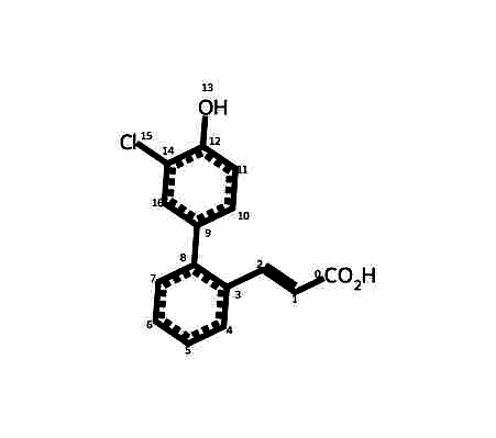 O=C(O)/C=C/c1ccccc1-c1ccc(O)c(Cl)c1